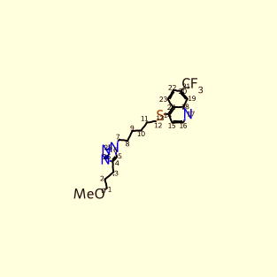 COCC[CH]c1cn(CCCCCCSc2ccnc3cc(C(F)(F)F)ccc23)nn1